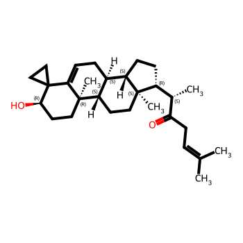 CC(C)=CCC(=O)[C@@H](C)[C@H]1CC[C@H]2[C@@H]3CC=C4C5(CC5)[C@H](O)CC[C@]4(C)[C@H]3CC[C@]12C